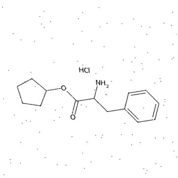 Cl.NC(Cc1ccccc1)C(=O)OC1CCCC1